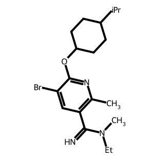 CCN(C)C(=N)c1cc(Br)c(OC2CCC(C(C)C)CC2)nc1C